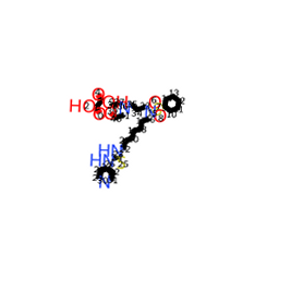 O=C(O)C(=O)O.O=S(=O)(C1CCCCC1)N(CCCCCCCNC(=S)Nc1ccncc1)CCCN1CCOCC1